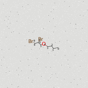 CCCCOCC(Br)CBr